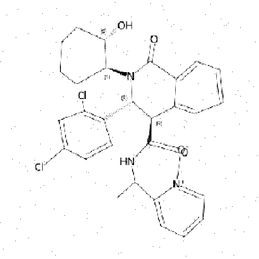 CC(NC(=O)[C@@H]1c2ccccc2C(=O)N([C@H]2CCCC[C@@H]2O)[C@H]1c1ccc(Cl)cc1Cl)c1cccc[n+]1[O-]